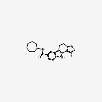 O=C(NC1CCCCCC1)c1ccc2[nH]c3c(c2c1)CCc1cn[nH]c1-3